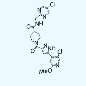 COc1cc(-c2cc(C(=O)N3CCC(C(=O)NCc4ncc(Cl)cn4)CC3)n[nH]2)c(Cl)cn1